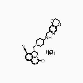 Cl.Cl.N#Cc1ccc2ccc(=O)n3c2c1C(CN1CCC(NCc2cc4c(cn2)OCCO4)CC1)C3